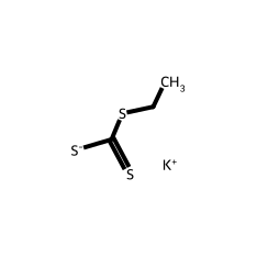 CCSC(=S)[S-].[K+]